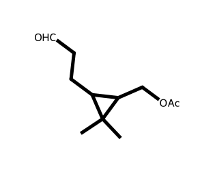 CC(=O)OCC1C(CCC=O)C1(C)C